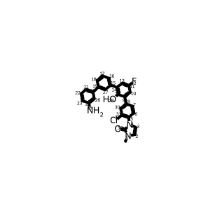 Cn1ccn(-c2ccc(-c3cc(F)cc(-c4cccc(-c5cccc(N)c5)c4)c3O)cc2Cl)c1=O